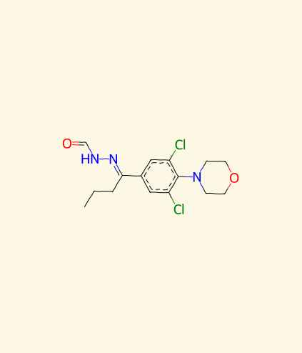 CCC/C(=N\NC=O)c1cc(Cl)c(N2CCOCC2)c(Cl)c1